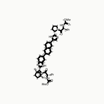 COC(=O)N[C@H](C(=O)N1CCC[C@H]1c1ncc(-c2ccc3cc(-c4ccc5nc([C@@H]6[C@H]7CC[C@H](C7)N6C(=O)[C@@H](NC(=O)OC)C(C)C)[nH]c5c4)ccc3c2)[nH]1)C(C)C